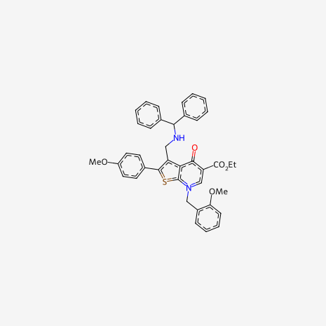 CCOC(=O)c1cn(Cc2ccccc2OC)c2sc(-c3ccc(OC)cc3)c(CNC(c3ccccc3)c3ccccc3)c2c1=O